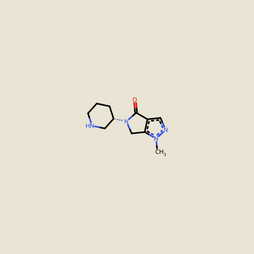 Cn1ncc2c1CN([C@H]1CCCNC1)C2=O